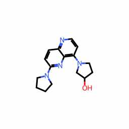 OC1CCN(c2ccnc3ccc(N4CCCC4)nc23)C1